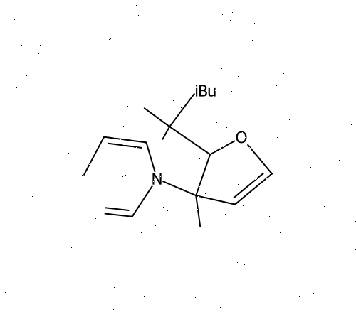 C=CN(/C=C\C)C1(C)C=COC1C(C)(C)C(C)CC